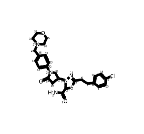 NC(=O)C1SC(CCc2ccc(Cl)cc2)=NN1C1CC(=O)N(c2ccc(CN3CCOCC3)cc2)C1